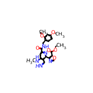 CCOC(=O)c1ocnc1-c1nc(C(=O)NCc2ccc(OC)cc2OC)cc(NC)c1C=N